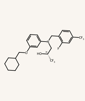 O[C@H](CN(Cc1ccc(C(F)(F)F)cc1F)c1cccc(OCC2CCCCC2)c1)C(F)(F)F